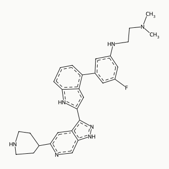 CN(C)CCNc1cc(F)cc(-c2cccc3[nH]c(-c4n[nH]c5cnc(C6CCNCC6)cc45)cc23)c1